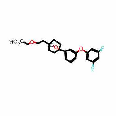 O=C(O)COCCC12CCC(c3cccc(Oc4cc(F)cc(F)c4)c3)(CC1)OC2